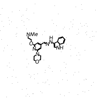 CNCCOc1cc(/C=N/NC2=CNC3C=CC=CC23)cc(N2CCOCC2)n1